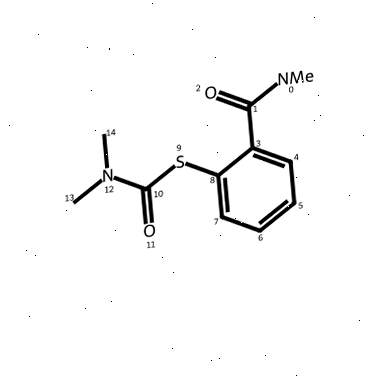 CNC(=O)c1ccccc1SC(=O)N(C)C